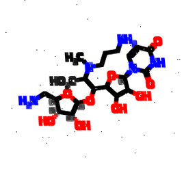 CN(CCCN)C(C(=O)O)C(O[C@@H]1O[C@H](CN)[C@@H](O)[C@H]1O)C1O[C@@H](n2ccc(=O)[nH]c2=O)C(O)C1O